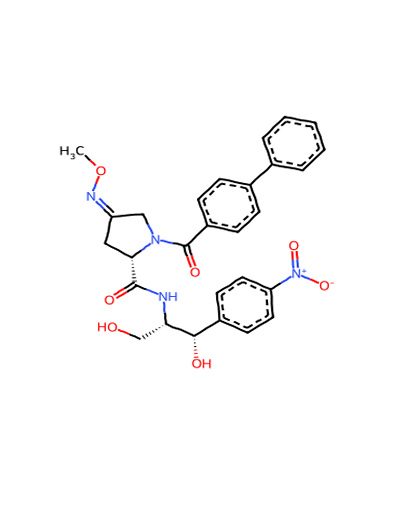 CON=C1C[C@@H](C(=O)N[C@@H](CO)[C@@H](O)c2ccc([N+](=O)[O-])cc2)N(C(=O)c2ccc(-c3ccccc3)cc2)C1